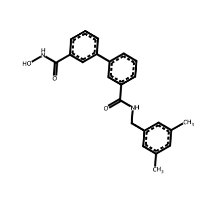 Cc1cc(C)cc(CNC(=O)c2cccc(-c3cccc(C(=O)NO)c3)c2)c1